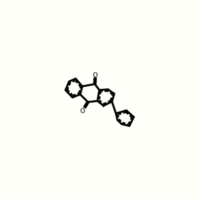 O=C1c2[c]c(-c3ccccc3)ccc2C(=O)c2ccccc21